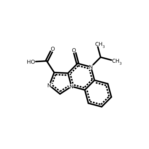 CC(C)n1c(=O)c2c(C(=O)O)ncn2c2ccccc21